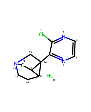 Cl.Clc1nccnc1C1CN2CCC1CC2